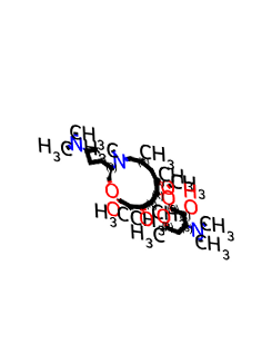 CO[C@]1(C)C[C@@H](C)CN(C)[C@H]([C@H]2C[C@@H](N(C)C)C2)COC(=O)C(C)(C)C(=O)[C@H](C)[C@H]1O[C@@H]1O[C@H](C)C[C@H](N(C)C)[C@H]1O